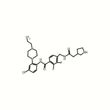 O=C(CC1CCNC1)NCc1ccc(C(=O)Nc2ccc(Cl)cc2N2CCN(CCC(F)(F)F)CC2)c(F)c1F